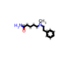 CN(C[CH]c1ccccc1)CCCCC(N)=O